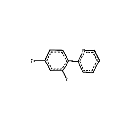 Fc1ccc(-c2ccccn2)c(F)c1